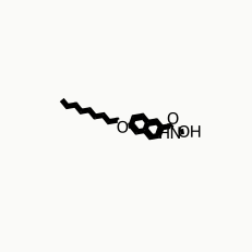 CCCCCCCCCOc1ccc2cc(C(=O)NO)ccc2c1